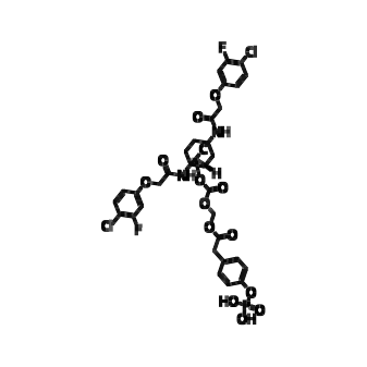 O=C(COc1ccc(Cl)c(F)c1)NC12CCC(NC(=O)COc3ccc(Cl)c(F)c3)(CC1)[C@@H](OC(=O)OCOC(=O)Cc1ccc(OP(=O)(O)O)cc1)C2